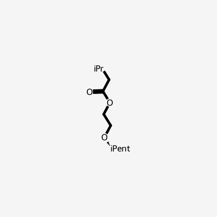 CCC[C@@H](C)OCCOC(=O)CC(C)C